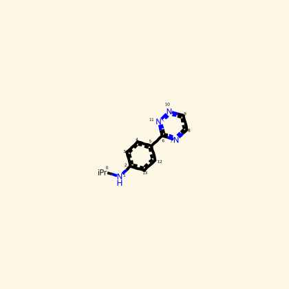 CC(C)Nc1ccc(-c2nccnn2)cc1